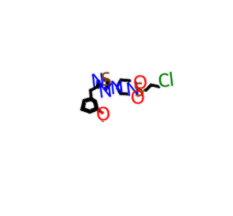 COc1cccc(Cc2nsc(N3CCN(S(=O)(=O)CCCCl)CC3)n2)c1